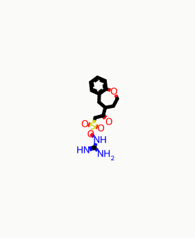 N=C(N)NOS(=O)(=O)CC(=O)C1CCOc2ccccc2C1